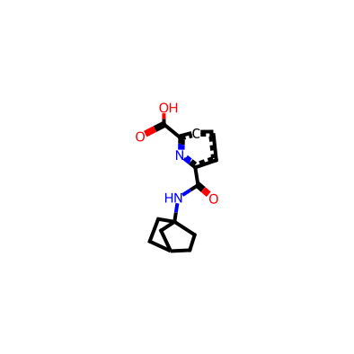 O=C(O)c1cccc(C(=O)NC23CCC(CC2)C3)n1